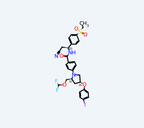 CCS(=O)(=O)c1ccc([C@H](CC#N)NC(=O)c2ccc(N3C[C@@H](Oc4ccc(I)cc4)C[C@H]3COC(F)F)cc2)cc1